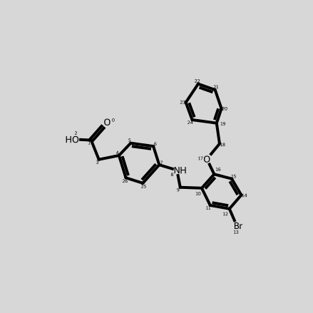 O=C(O)Cc1ccc(NCc2cc(Br)ccc2OCc2ccccc2)cc1